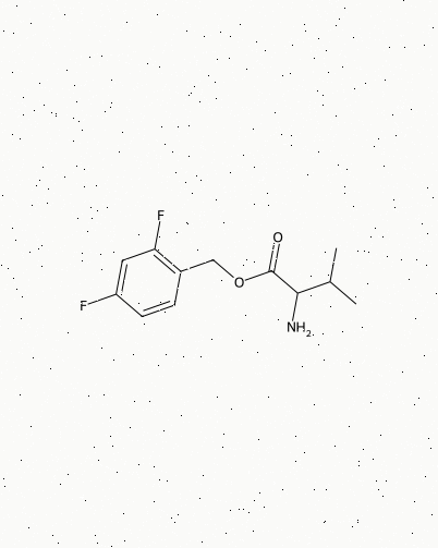 CC(C)C(N)C(=O)OCc1ccc(F)cc1F